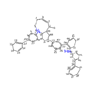 CC1/C=C\CCN(c2ccc(C3=CCCC=C3)cc2)C2CCC(c3cccc(C4=C(NC5=CC(C6=CC=CCC6)CC=C5)CCC=C4)c3)CC12